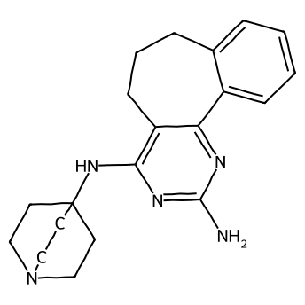 Nc1nc(NC23CCN(CC2)CC3)c2c(n1)-c1ccccc1CCC2